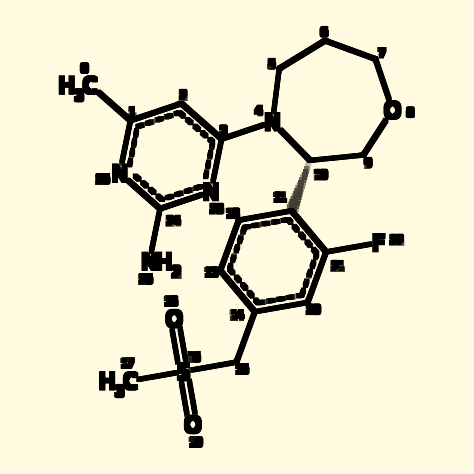 Cc1cc(N2CCCOC[C@@H]2c2ccc(CS(C)(=O)=O)cc2F)nc(N)n1